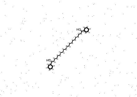 OC(CCCCCCCCCSCCCCCCCCCC(O)c1ccccc1)c1ccccc1